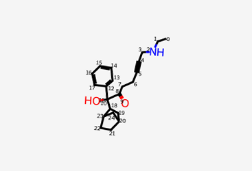 CCNCC#CCCC(=O)C(O)(c1ccccc1)C1CC2CCC1C2